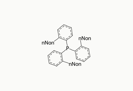 CCCCCCCCCc1ccccc1P(c1ccccc1CCCCCCCCC)c1ccccc1CCCCCCCCC